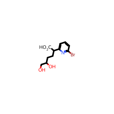 O=C(O)C(CCC(O)CO)c1cccc(Br)n1